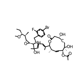 CC[C@H](OC)[C@@H](C)[C@H]1O[C@@H]1C(NCc1ccc(Br)cc1F)C(C)(O)/C=C/C=C(\C)C1OC(=O)C[C@H](O)CC[C@@](C)(O)[C@@H](OC(C)=O)/C=C/[C@@H]1C